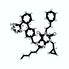 CCCCCc1nc2c(c(=O)n(CCc3ccccc3)c(=O)n2CC2CC2)n1Cc1ccc(-c2ccccc2-c2nnn[nH]2)cc1